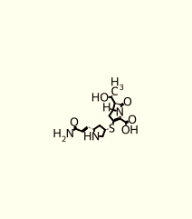 C[C@@H](O)[C@H]1C(=O)N2C(C(=O)O)=C(S[C@@H]3CN[C@H](/C=C/C(N)=O)C3)C[C@H]12